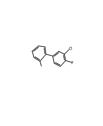 Cc1c[c]ccc1-c1ccc(F)c(Cl)c1